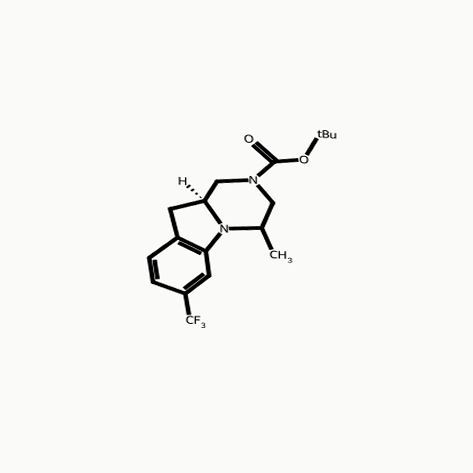 CC1CN(C(=O)OC(C)(C)C)C[C@@H]2Cc3ccc(C(F)(F)F)cc3N12